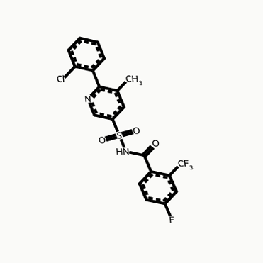 Cc1cc(S(=O)(=O)NC(=O)c2ccc(F)cc2C(F)(F)F)cnc1-c1ccccc1Cl